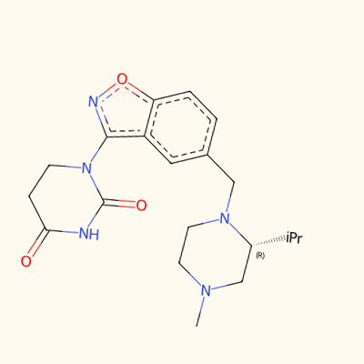 CC(C)[C@@H]1CN(C)CCN1Cc1ccc2onc(N3CCC(=O)NC3=O)c2c1